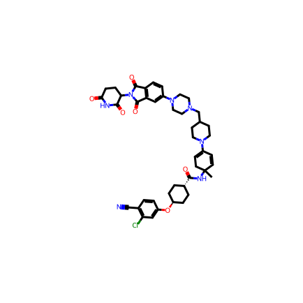 CC1(NC(=O)[C@H]2CC[C@H](Oc3ccc(C#N)c(Cl)c3)CC2)C=CC(N2CCC(CN3CCN(c4ccc5c(c4)C(=O)N(C4CCC(=O)NC4=O)C5=O)CC3)CC2)=CC1